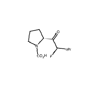 CCCC(F)C(=O)[C@H]1CCCN1C(=O)O